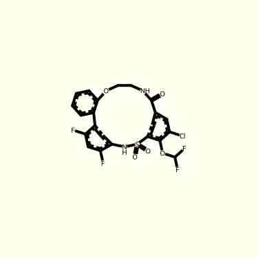 O=C1NCCOc2ccccc2-c2cc(c(F)cc2F)NS(=O)(=O)c2cc1cc(Cl)c2OC(F)F